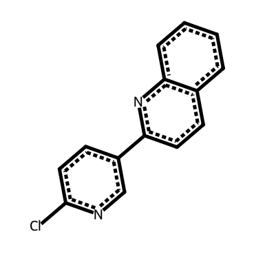 Clc1ccc(-c2ccc3ccccc3n2)cn1